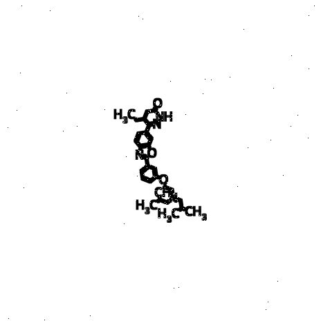 CCC1CC(=O)NN=C1c1ccc2nc(-c3cccc(OCCN(CC(C)C)CC(C)C)c3)oc2c1